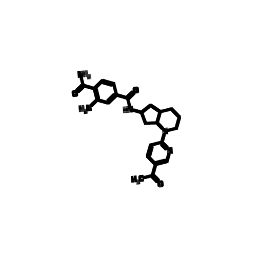 CC(=O)c1ccc(N2CCCC3CC(NC(=O)c4ccc(C(N)=O)c(N)c4)CC32)nc1